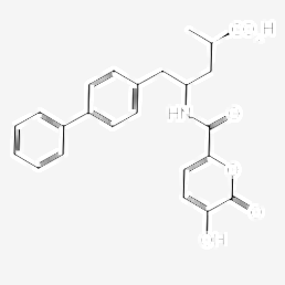 C[C@H](CC(Cc1ccc(-c2ccccc2)cc1)NC(=O)c1ccc(O)c(=O)o1)C(=O)O